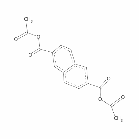 CC(=O)OC(=O)c1ccc2cc(C(=O)OC(C)=O)ccc2c1